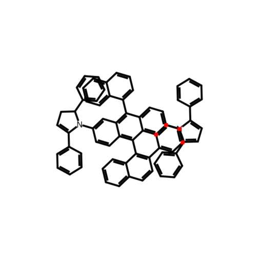 C1=C(c2ccccc2)N(c2ccc3c(-c4c(-c5ccccc5)ccc5ccccc45)c4cc(-n5c(-c6ccccc6)ccc5-c5ccccc5)ccc4c(-c4cccc5ccccc45)c3c2)C(c2ccccc2)C1